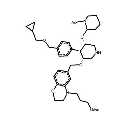 COCCCN1CCOc2ccc(CO[C@H]3CNC[C@@H](OC4CCCCN4C(C)=O)[C@@H]3c3ccc(COCC4CC4)cc3)cc21